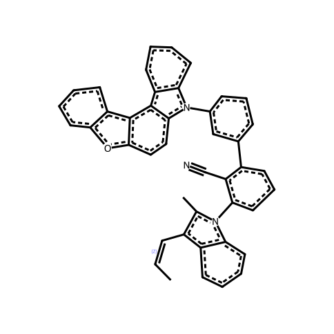 C/C=C\c1c(C)n(-c2cccc(-c3cccc(-n4c5ccccc5c5c6c(ccc54)oc4ccccc46)c3)c2C#N)c2ccccc12